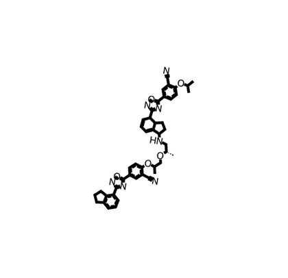 CC(C)Oc1ccc(-c2nc(C3C=CC=C4C(NC[C@H](C)OCC(C)Oc5ccc(-c6nc(-c7cccc8c7CCC8)no6)cc5C#N)CCC43)no2)cc1C#N